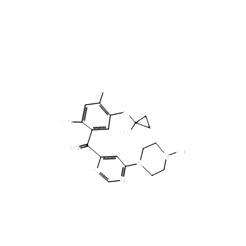 CN1CCN(c2cc(C(=N)c3cc(OC4(C)CC4)c(F)cc3N)ncn2)CC1